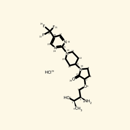 C[C@@H](O)[C@H](N)COC1CCN(C2CCN(c3ncc(C(F)(F)F)cn3)CC2)C1=O.Cl